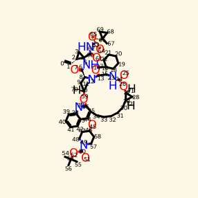 C=C[C@@H]1C[C@]1(NC(=O)[C@@H]1C[C@@H]2CN1C(=O)[C@H](C1(C)CCCCC1)NC(=O)O[C@@H]1C[C@H]1CCCCCc1c(nc3ccccc3c1OC1CCN(C(=O)OC(C)(C)C)CC1)O2)C(=O)NS(=O)(=O)C1(C)CC1